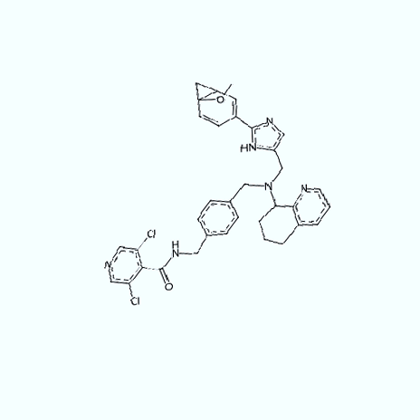 COC12C=CC(c3ncc(CN(Cc4ccc(CNC(=O)c5c(Cl)cncc5Cl)cc4)C4CCCc5cccnc54)[nH]3)=CC1C2